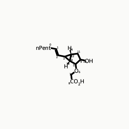 CCCCCC=CC1[C@H]2C(OCC(=O)O)C(O)C[C@@H]12